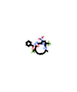 CC1CC=CCCC(OCc2ccccc2)(C(F)(F)F)c2nnc(o2)-c2nc(c(C(F)(F)F)cc2[N+](=O)[O-])N1